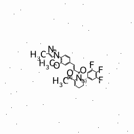 COc1cc(C=C2O[C@H](C)C3=CCC[C@@H](c4cc(F)c(F)c(F)c4)N3C2=O)ccc1-n1cnc(C)c1